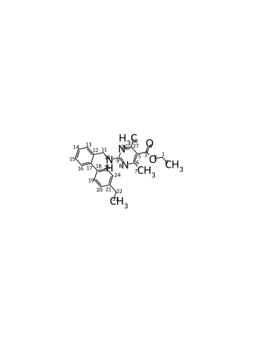 CCOC(=O)c1c(C)nc(NCc2ccccc2-c2ccc(CC)cc2)nc1C